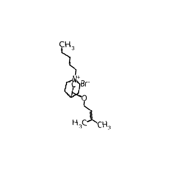 CCCCC[N+]12CCC(CC1)C(OCC=C(C)C)C2.[Br-]